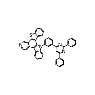 c1ccc(-c2cc(-c3cccc(-n4c5ccccc5c5c6ccncc6c6sc7ccccc7c6c54)c3)nc(-c3ccccc3)n2)cc1